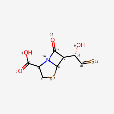 O=C(O)C1CSC2C([C@H](O)C=S)C(=O)N12